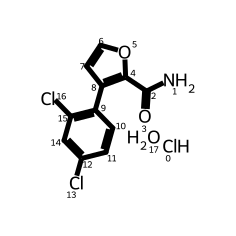 Cl.NC(=O)c1occc1-c1ccc(Cl)cc1Cl.O